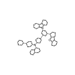 c1ccc(-c2ccc(N(c3ccc(-c4cc(-c5cccc6c5oc5ccccc56)cc(-n5c6ccccc6c6ccccc65)c4)cc3)c3cccc4ccccc34)cc2)cc1